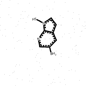 Bc1cnc2c(ccn2S)c1